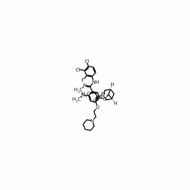 C=CC(=O)N1C[C@H]2C[C@@H](C1)[C@H]2Oc1cc(/C(=N\C)Nc2ccc(Cl)c(Cl)c2F)c(N=C)cc1OCCN1CCCCC1